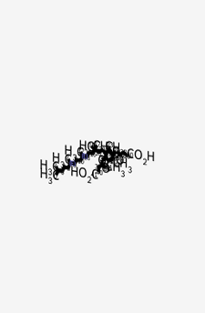 CC(C)=CCC/C(C)=C/CC/C(C)=C/CCC(C)(O)CCc1c(C)c(OC(=O)CCC(=O)O)c(C)c(C)c1OC(=O)CCC(=O)O